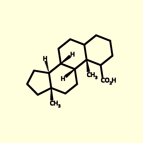 C[C@@]12CCC[C@H]1[C@@H]1CCC3CCCC(C(=O)O)[C@]3(C)[C@@H]1CC2